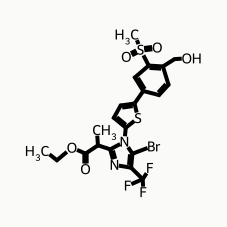 CCOC(=O)C(C)c1nc(C(F)(F)F)c(Br)n1-c1ccc(-c2ccc(CO)c(S(C)(=O)=O)c2)s1